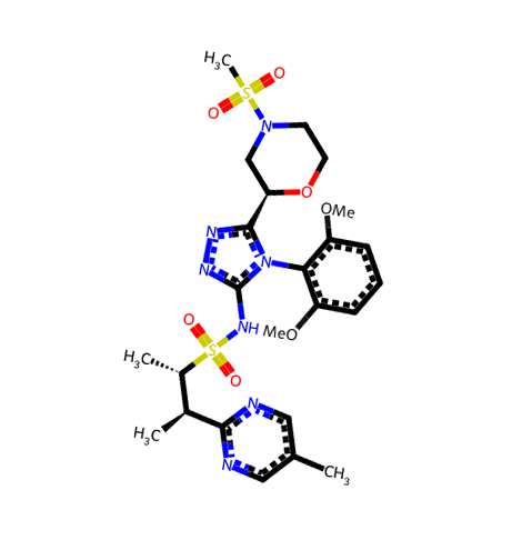 COc1cccc(OC)c1-n1c(NS(=O)(=O)[C@@H](C)[C@H](C)c2ncc(C)cn2)nnc1[C@H]1CN(S(C)(=O)=O)CCO1